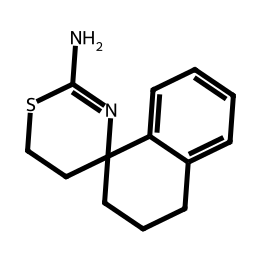 NC1=NC2(CCCc3ccccc32)CCS1